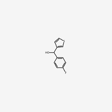 OC(c1ccc(F)cc1)c1ccsc1